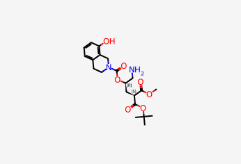 COC(=O)[C@H](C[C@H](CN)OC(=O)N1CCc2cccc(O)c2C1)C(=O)OC(C)(C)C